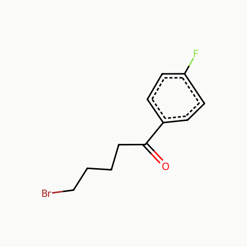 O=C(CCCCBr)c1ccc(F)cc1